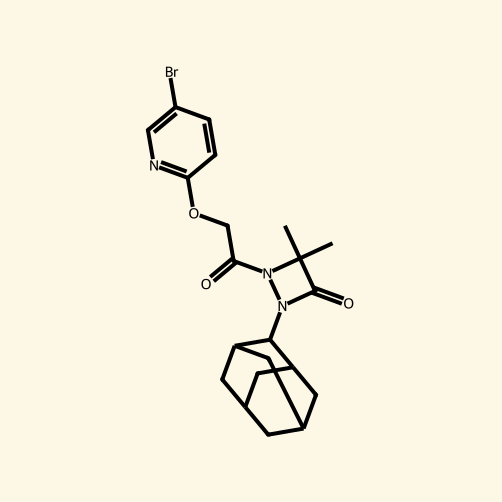 CC1(C)C(=O)N(C2C3CC4CC(C3)CC2C4)N1C(=O)COc1ccc(Br)cn1